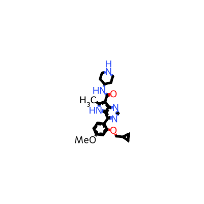 COc1ccc(-c2ncnc3c(C(=O)NC4CCNCC4)c(C)[nH]c23)c(OCC2CC2)c1